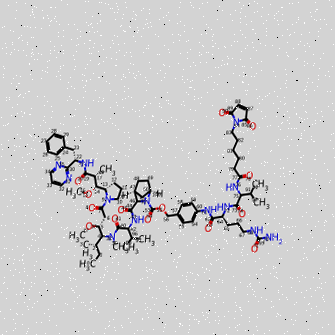 CC[C@H](C)[C@@H]([C@@H](CC(=O)N1CCC[C@H]1[C@H](OC)[C@@H](C)C(=O)N[C@@H](Cc1ccccc1)c1ncccn1)OC)N(C)C(=O)[C@@H](NC(=O)C1[C@H]2CC[C@H](C2)N1C(=O)OCc1ccc(NC(=O)[C@H](CCCNC(N)=O)NC(=O)[C@@H](NC(=O)CCCCCN2C(=O)C=CC2=O)C(C)C)cc1)C(C)C